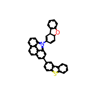 C1=CC2Oc3ccccc3C2C=C1n1c2cccc3ccc4cc(-c5ccc6sc7ccccc7c6c5)cc1c4c32